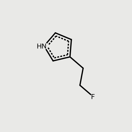 FCCc1cc[nH]c1